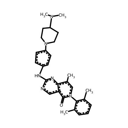 Cc1cccc(C)c1-n1cc(C)c2nc(Nc3ccc(N4CCC(N(C)C)CC4)cc3)ncc2c1=O